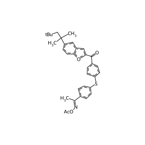 CC(=O)ON=C(C)c1ccc(Sc2ccc(C(=O)c3cc4cc(C(C)(C)CC(C)(C)C)ccc4o3)cc2)cc1